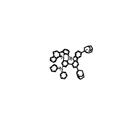 c1ccc(N(c2ccccc2)c2cc3c4c(c2)-n2c5c(cccc5c5ccc6ccccc6c52)B4n2c4ccc(C56CCC7CC(CC7C5)C6)cc4c4cc(C56CCC7CC(CC7C5)C6)cc-3c42)cc1